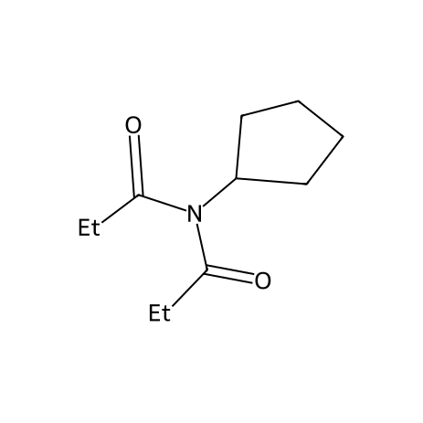 CCC(=O)N(C(=O)CC)C1CCCC1